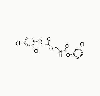 O=C(COc1ccc(Cl)cc1Cl)OCNC(=O)Oc1cccc(Cl)c1